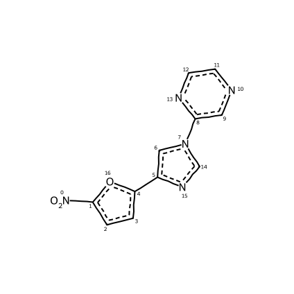 O=[N+]([O-])c1ccc(-c2cn(-c3cnccn3)cn2)o1